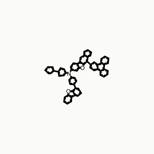 c1ccc(-c2ccc(N(c3ccc(-c4cccc5c4oc4ccccc45)cc3)c3ccc4c(c3)oc3c(-c5ccc6c7ccccc7c7ccccc7c6c5)c5ccccc5cc34)cc2)cc1